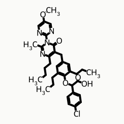 CCCCc1nc(C)n(-c2ncc(OC)cn2)c(=O)c1Cc1cc(CCC)c(OC(C(=O)O)c2ccc(Cl)cc2)c(CCC)c1